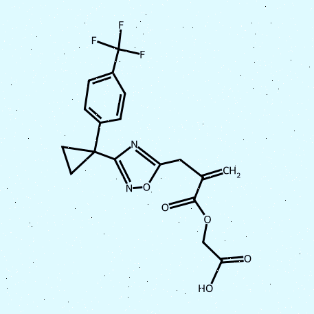 C=C(Cc1nc(C2(c3ccc(C(F)(F)F)cc3)CC2)no1)C(=O)OCC(=O)O